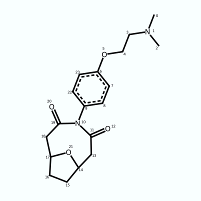 CN(C)CCOc1ccc(N2C(=O)CC3CCC(CC2=O)O3)cc1